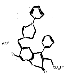 CCOC(=O)Cc1c(-c2ccccc2)c2cc(CN3CCN(c4ccccc4)CC3)c(Cl)cc2oc1=O.Cl